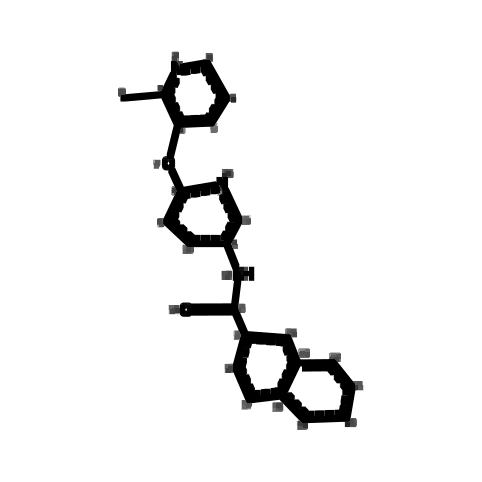 Cc1ncccc1Oc1ccc(NC(=O)c2ccc3ccccc3c2)cn1